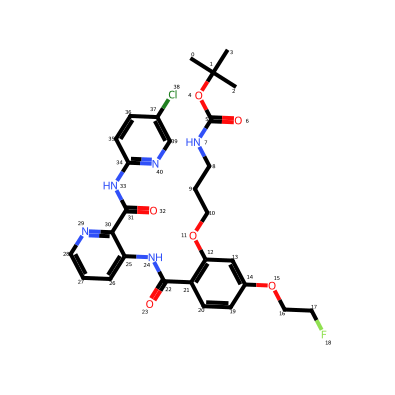 CC(C)(C)OC(=O)NCCCOc1cc(OCCF)ccc1C(=O)Nc1cccnc1C(=O)Nc1ccc(Cl)cn1